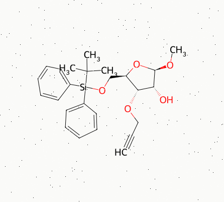 C#CCO[C@H]1[C@@H](O)[C@H](OC)O[C@@H]1CO[Si](c1ccccc1)(c1ccccc1)C(C)(C)C